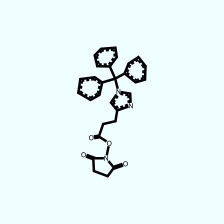 O=C(CCc1cn(C(c2ccccc2)(c2ccccc2)c2ccccc2)cn1)ON1C(=O)CCC1=O